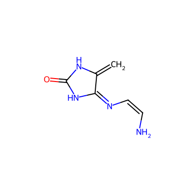 C=C1NC(=O)N/C1=N/C=C\N